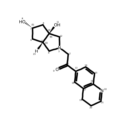 O=C(CN1C[C@@H]2C[C@H](O)C[C@]2(O)C1)c1ccc2c(c1)CCC=N2